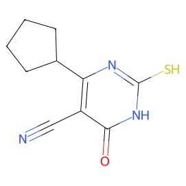 N#Cc1c(C2CCCC2)nc(S)[nH]c1=O